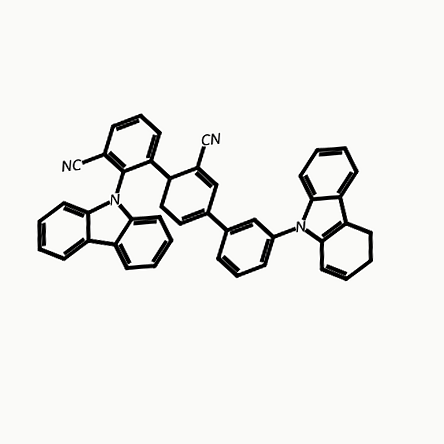 N#CC1=CC(c2cccc(-n3c4c(c5ccccc53)CCC=C4)c2)=CCC1c1cccc(C#N)c1-n1c2ccccc2c2ccccc21